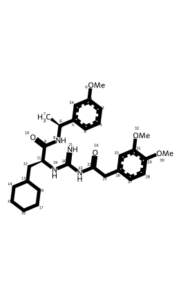 COc1cccc([C@H](C)NC(=O)[C@H](CC2CCCCC2)NC(=N)NC(=O)Cc2ccc(OC)c(OC)c2)c1